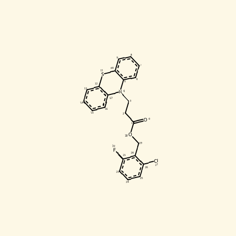 O=C(CCN1c2ccccc2Sc2ccccc21)OCc1c(F)cccc1Cl